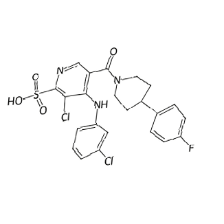 O=C(c1cnc(S(=O)(=O)O)c(Cl)c1Nc1cccc(Cl)c1)N1CCC(c2ccc(F)cc2)CC1